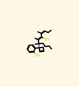 CC/C=C(C)\C(S)=C(/C)C(C)(CCCC)[C@]1(c2ccccc2S)C=CC1